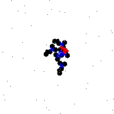 CC1(C)c2ccccc2-c2ccc(-n3c4ccccc4c4cc(-c5ccc6c7ccccc7n(-c7ccc(-n8c9ccccc9c9ccc(-c%10ccc%11c(c%10)c%10ccccc%10n%11-c%10ccc%11c(c%10)C(C)(C)c%10ccccc%10-%11)cc98)c(-n8c9ccccc9c9ccc(-c%10ccc%11c(c%10)c%10ccccc%10n%11-c%10ccc%11c(c%10)C(C)(C)c%10ccccc%10-%11)cc98)n7)c6c5)ccc43)cc21